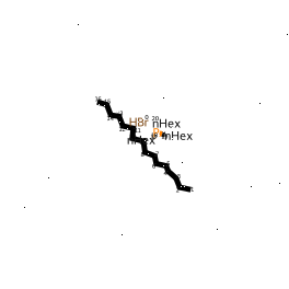 Br.CCCCCCCCCCCCCCCC.CCCCCCP(CCCCCC)CCCCCC